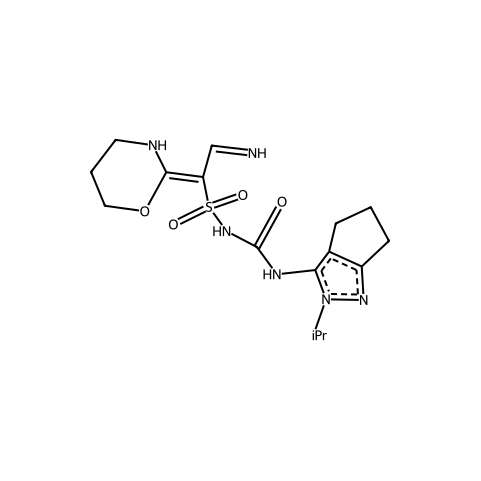 CC(C)n1nc2c(c1NC(=O)NS(=O)(=O)/C(C=N)=C1/NCCCO1)CCC2